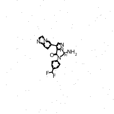 N[C@H]1CN(c2ccc(C(F)F)cc2)C(=O)c2c(-c3ccc4nccn4c3)cnn21